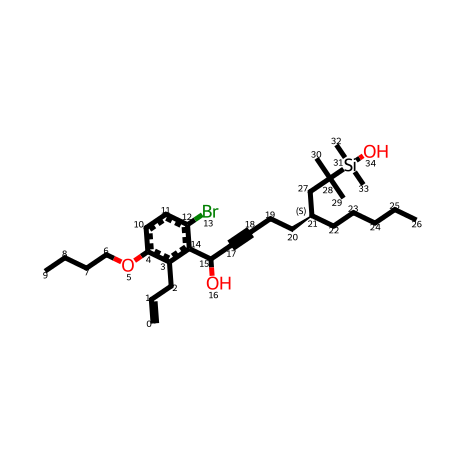 C=CCc1c(OCCCC)ccc(Br)c1C(O)C#CCC[C@H](CCCCC)CC(C)(C)[Si](C)(C)O